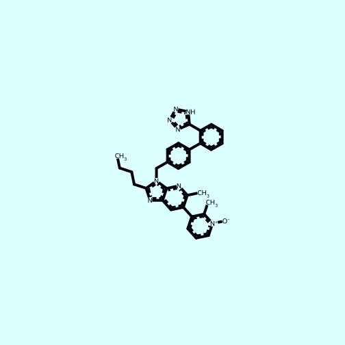 CCCCc1nc2cc(-c3ccc[n+]([O-])c3C)c(C)nc2n1Cc1ccc(-c2ccccc2-c2nnn[nH]2)cc1